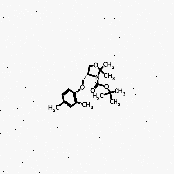 Cc1ccc(OC[C@@H]2COC(C)(C)N2C(=O)OC(C)(C)C)c(C)c1